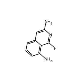 Nc1cc2cccc(N)c2c(F)n1